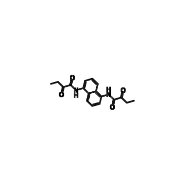 CCC(=O)C(=O)Nc1cccc2c(NC(=O)C(=O)CC)cccc12